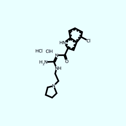 Cl.Cl.NC(=NC(=O)c1cc2c(Cl)cccc2[nH]1)NCCN1CCCC1